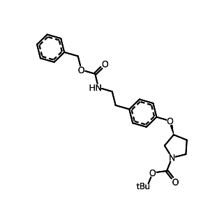 CC(C)(C)OC(=O)N1CC[C@H](Oc2ccc(CCNC(=O)OCc3ccccc3)cc2)C1